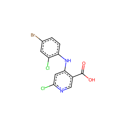 O=C(O)c1cnc(Cl)cc1Nc1ccc(Br)cc1Cl